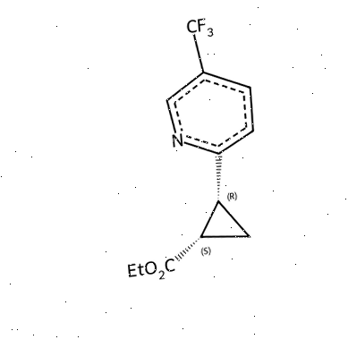 CCOC(=O)[C@H]1C[C@H]1c1ccc(C(F)(F)F)cn1